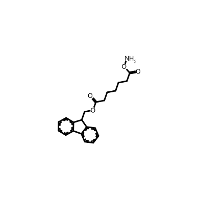 NOC(=O)CCCCCC(=O)OCC1c2ccccc2-c2ccccc21